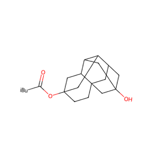 CCC(C)C(=O)OC12CCC34CC5CC(O)(CC(C5C1)C3C2)C4